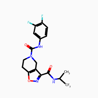 CC(NC(=O)c1noc2c1CN(C(=O)Nc1ccc(F)c(F)c1)CC2)C(F)(F)F